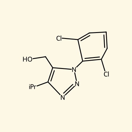 CC(C)c1nnn(-c2c(Cl)cccc2Cl)c1CO